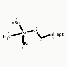 CCCCCCCC[O][Sn]([CH3])([CH2]CCC)[CH2]CCC